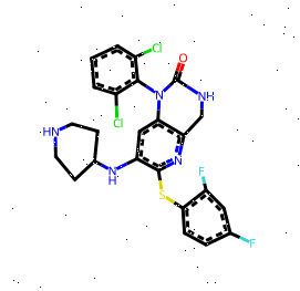 O=C1NCc2nc(Sc3ccc(F)cc3F)c(NC3CCNCC3)cc2N1c1c(Cl)cccc1Cl